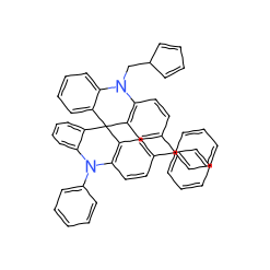 C1=CC(CN2c3ccccc3C3(c4cc(-c5ccccc5)ccc42)c2ccccc2N(c2ccccc2)c2ccc(-c4ccccc4)cc23)C=C1